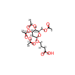 CC(=O)OC[C@H]1O[C@@H](OCCCC(=O)O)[C@H](OC(C)=O)[C@@H](OC(C)=O)[C@H]1OC(C)=O